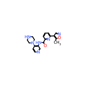 Cc1oncc1-c1cccc(C(=O)Nc2cnccc2N2CCNCC2)n1